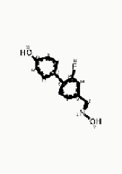 ON=Cc1ccc(-c2ccc(O)cc2)c(F)c1